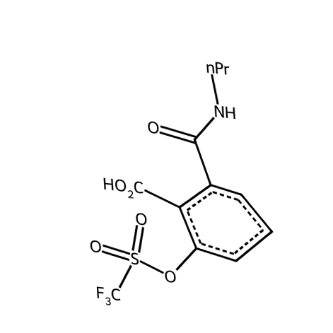 CCCNC(=O)c1cccc(OS(=O)(=O)C(F)(F)F)c1C(=O)O